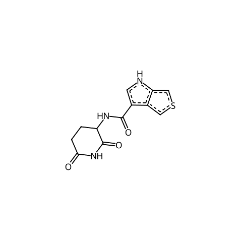 O=C1CCC(NC(=O)c2c[nH]c3cscc23)C(=O)N1